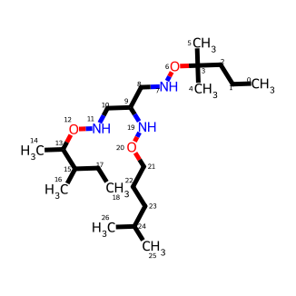 CCCC(C)(C)ONC[C](CNOC(C)C(C)CC)NOCCCC(C)C